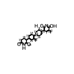 Cc1nc(O)c(F)cc1C1CCN(c2ccc(C3CCC(=O)NC3=O)cc2F)CC1